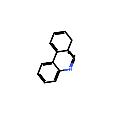 C1=CCC23C=CC=CC2=Nc2ccccc2C3=C1